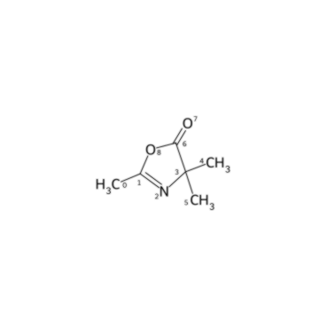 CC1=NC(C)(C)C(=O)O1